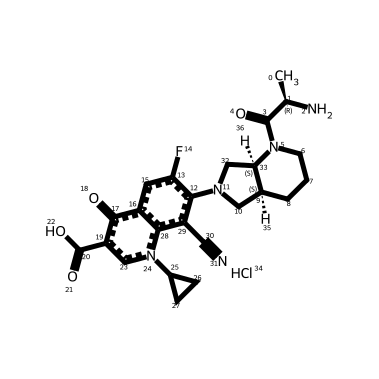 C[C@@H](N)C(=O)N1CCC[C@H]2CN(c3c(F)cc4c(=O)c(C(=O)O)cn(C5CC5)c4c3C#N)C[C@H]21.Cl